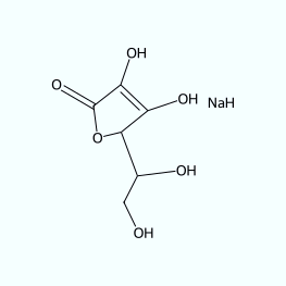 O=C1OC(C(O)CO)C(O)=C1O.[NaH]